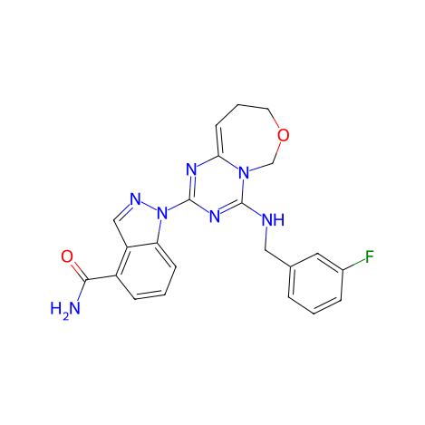 NC(=O)c1cccc2c1cnn2C1=NC2=CCCOCN2C(NCc2cccc(F)c2)=N1